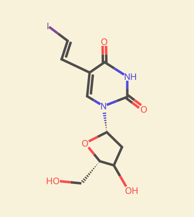 O=c1[nH]c(=O)n([C@@H]2CC(O)[C@H](CO)O2)cc1/C=C/I